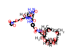 C=C1C[C@@H]2CC[C@@]34C[C@H]5OC6[C@@H](O[C@H]7CC[C@H](CC(=O)C[C@@H]8[C@@H](OC)[C@@H](C[C@H](O)CNC(=O)OCc9ccc(NC(=O)[C@H](CCCNC(N)=O)NC(=O)[C@@H](NC(=O)CCOCCOCCN%10C(=O)C=CC%10=O)C(C)C)cc9)O[C@H]8C[C@H]8O[C@@H](CC[C@@H]1O2)C[C@@H](C)C8=C)O[C@@H]7[C@@H]6O3)C5O4